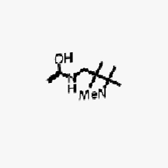 C=C(O)NCC(C)(C)C(C)(C)NC